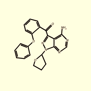 Nc1ncnc2c1c(C(=O)c1ccccc1Oc1ccccc1)nn2C1CCCO1